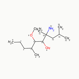 CCCC(C)C(OC)C(O)C(C)(N)CC(C)C